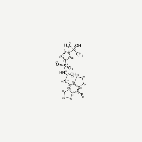 CC(C)(O)c1csc(S(=O)(=O)NC(O)Nc2c3c(c(F)c4c2CCC4)CCC3)c1